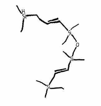 C[SiH](C)CC=C[Si](C)(C)O[Si](C)(C)C=C[Si](C)(C)C